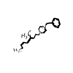 C=C/C=C\C=C(/C)CCCN1CCN(Cc2ccccc2)CC1